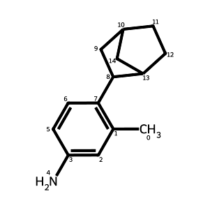 Cc1cc(N)ccc1C1CC2CCC1C2